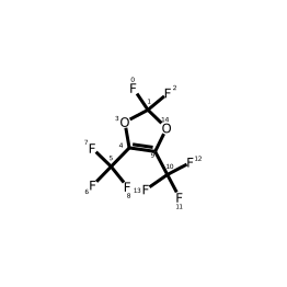 FC1(F)OC(C(F)(F)F)=C(C(F)(F)F)O1